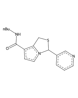 CCCCNC(=O)c1ccn2c1CSC2c1cccnc1